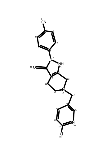 N#Cc1ccc(-n2[nH]c3c(c2=O)CCN(Cc2ccc(Cl)nc2)C3)cc1